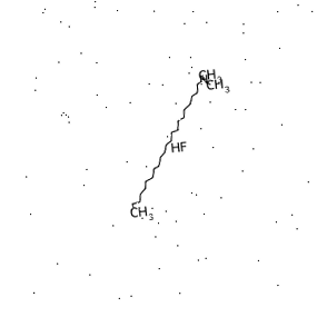 CCCCCCCCCCCCCCCCCCCCCCN(C)C.F